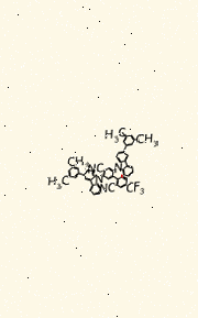 Cc1cc(C)cc(-c2ccc3c(c2)c2ccccc2n3-c2cc(-c3ccc(C(F)(F)F)cc3C#N)c(-n3c4ccccc4c4cc(-c5cc(C)cc(C)c5)ccc43)cc2C#N)c1